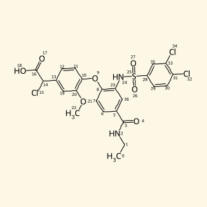 CCNC(=O)c1ccc(Oc2ccc(C(Cl)C(=O)O)cc2OC)c(NS(=O)(=O)c2ccc(Cl)c(Cl)c2)c1